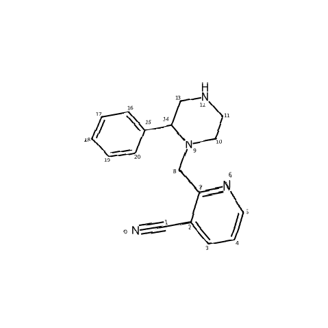 N#Cc1cccnc1CN1CCNCC1c1ccccc1